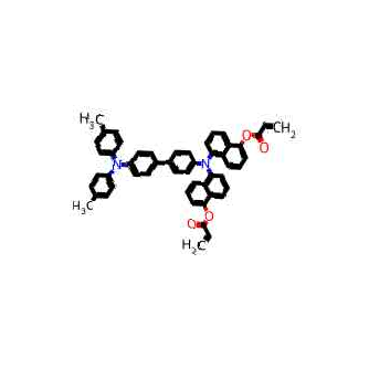 C=CC(=O)Oc1cccc2c(N(c3ccc(-c4ccc(N(c5ccc(C)cc5)c5ccc(C)cc5)cc4)cc3)c3cccc4c(OC(=O)C=C)cccc34)cccc12